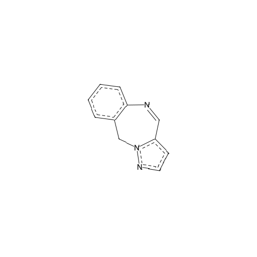 C1=Nc2ccccc2Cn2nccc21